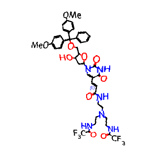 COc1ccc(C(OCC2OC(n3cc(/C=C/C(=O)NCCN(CCNC(=O)C(F)(F)F)CCNC(=O)C(F)(F)F)c(=O)[nH]c3=O)CC2O)(c2ccccc2)c2ccc(OC)cc2)cc1